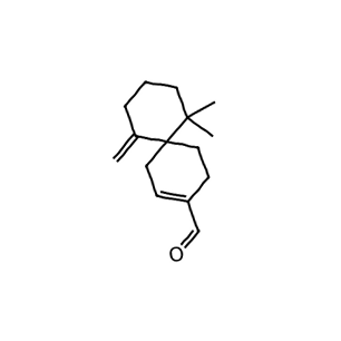 C=C1CCCC(C)(C)C12CC=C(C=O)CC2